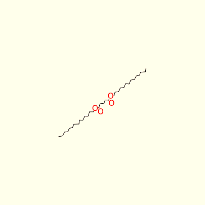 CCCCCCCCCCCCCCOC(=O)CCCC(=O)OCCCCCCCCCCCCCC